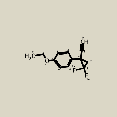 C#CC1(c2ccc(OCC)cc2)CC1(F)F